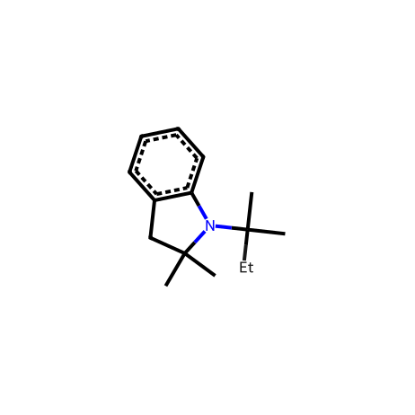 CCC(C)(C)N1c2ccccc2CC1(C)C